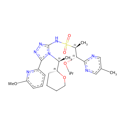 COc1cccc(-c2nnc(NS(=O)(=O)[C@@H](C)[C@@H](OC(C)C)c3ncc(C)cn3)n2[C@@H](C)[C@H]2CCCCO2)n1